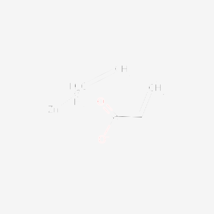 C=C.C=CC(=O)[O-].[CH3][Zn+]